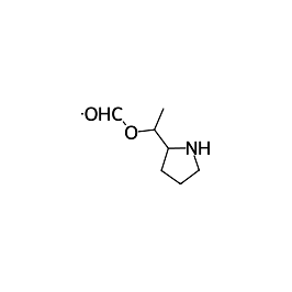 CC(O[C]=O)C1CCCN1